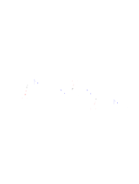 NCC(=O)NCC(=O)NCCNC(=O)O